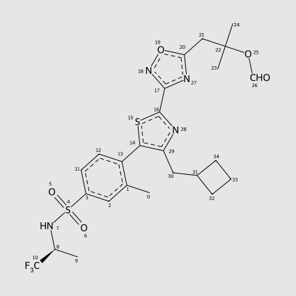 Cc1cc(S(=O)(=O)N[C@@H](C)C(F)(F)F)ccc1-c1sc(-c2noc(CC(C)(C)OC=O)n2)nc1CC1CCC1